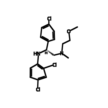 COCCN(C)C[C@H](Nc1ccc(Cl)cc1Cl)c1ccc(Cl)cc1